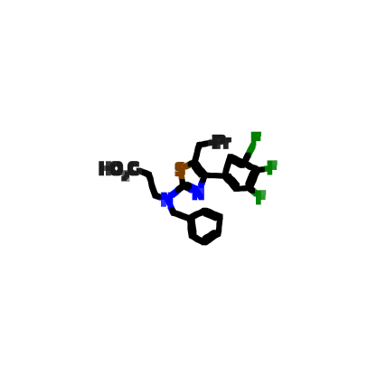 CC(C)Cc1sc(N(CCC(=O)O)Cc2ccccc2)nc1-c1cc(F)c(F)c(F)c1